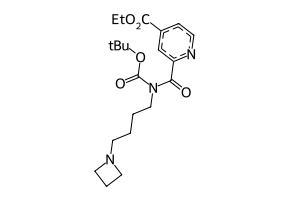 CCOC(=O)c1ccnc(C(=O)N(CCCCN2CCC2)C(=O)OC(C)(C)C)c1